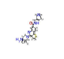 CC1(N)CCN(c2nc3cc(C(=O)NCc4cccnc4)ccc3c3sccc23)CC1